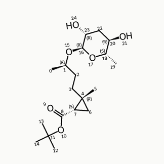 C[C@H](CC[C@]1(C)C[C@@H]1C(=O)OC(C)(C)C)O[C@@H]1O[C@@H](C)[C@H](O)C[C@H]1O